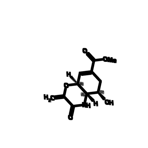 C=C1O[C@H]2C=C(C(=O)OC)C[C@@H](O)[C@@H]2NC1=O